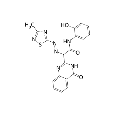 Cc1nsc(N=NC(C(=O)Nc2ccccc2O)c2nc3ccccc3c(=O)[nH]2)n1